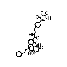 O=C(NCCc1ccc(-c2c[nH]c(=O)[nH]c2=O)cc1)c1ccc2c3c1O[C@H]1C(=O)CC[C@@]4(O)[C@@H](C2)C(CCc2ccccc2)CC[C@]314